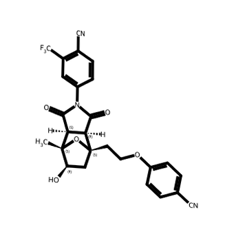 C[C@@]12O[C@@](CCOc3ccc(C#N)cc3)(C[C@H]1O)[C@@H]1C(=O)N(c3ccc(C#N)c(C(F)(F)F)c3)C(=O)[C@@H]12